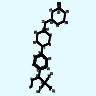 CCC(c1ccc(C2CCN(CC3CCCNC3)CC2)cc1)C(F)(F)F